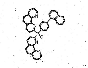 O=P(c1ccc(-c2cccc3ccccc23)cc1)(c1ccc2ccc3cccnc3c2n1)c1ccc2ccc3cccnc3c2n1